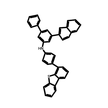 c1ccc(-c2cc(Nc3ccc(-c4cccc5c4sc4ccccc45)cc3)cc(-c3ccc4ccccc4c3)c2)cc1